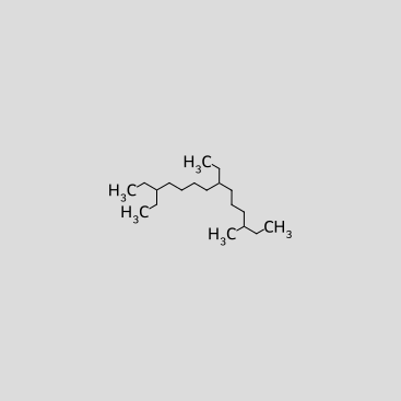 CCC(C)CCCC(CC)CCCCC(CC)CC